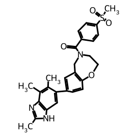 Cc1nc2c(C)c(C)c(-c3ccc4c(c3)CN(C(=O)c3ccc(S(C)(=O)=O)cc3)CCO4)cc2[nH]1